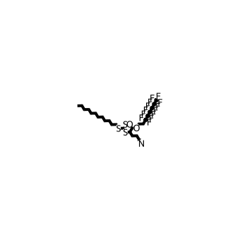 CCCCCCCCCCCCSC(=S)SC(CCC#N)C(=O)OCCC(F)(F)C(F)(F)C(F)(F)C(F)(F)C(F)(F)C(F)(F)F